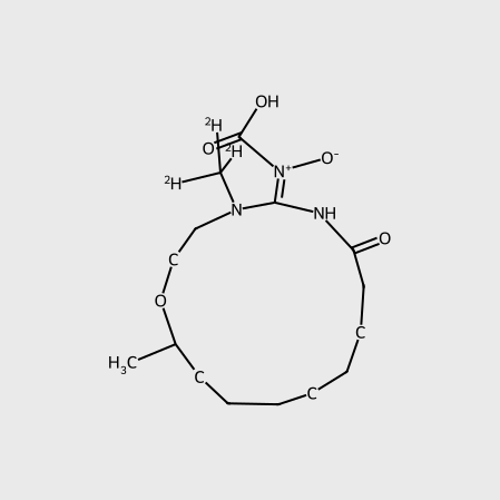 [2H]C([2H])([2H])N1CCOC(C)CCCCCCCC(=O)N/C1=[N+](\[O-])C(=O)O